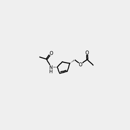 CC(=O)N[C@H]1C=C[C@@H](COC(C)=O)C1